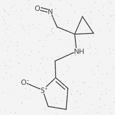 O=NCC1(NCC2=CCC[S+]2[O-])CC1